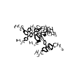 Cc1ccc(N(c2ccc(C)cc2)c2ccc(N3c4ccc(C(C)(C)C)cc4B4c5cc(C(C)(C)C)ccc5N(c5ccc(N(c6ccc(C)cc6)c6ccc(C)cc6)c6c5sc5ccccc56)c5cc(C)cc3c54)cc2)cc1